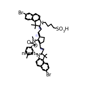 CCCCC[N+]1=C(/C=C/C2=C(N(C)S(=O)(=O)c3ccc(C)cc3)C(=C/C=C3/N(CCCCS(=O)(=O)O)c4ccc5cc(Br)ccc5c4C3(C)C)/CC2)C(C)(C)c2c1ccc1cc(Br)ccc21